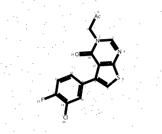 CC(=O)Cn1cnc2scc(-c3ccc(F)c(Cl)c3)c2c1=O